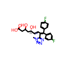 Cn1nnnc1C(/C=C/[C@@H](O)CC(O)CC(=O)O)=C(c1ccc(F)cc1)c1ccc(F)cc1